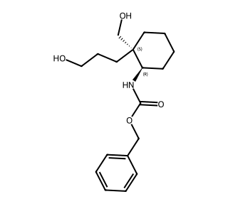 O=C(N[C@@H]1CCCC[C@]1(CO)CCCO)OCc1ccccc1